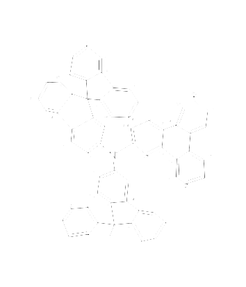 CC1(c2ccccc2)c2ccccc2-c2cc(N(c3ccc4c(c3)C3(c5ccccc5-c5ccccc53)c3ccccc3-4)c3ccc4c5ccccc5c5ccccc5c4c3)ccc21